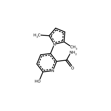 Cc1ccc(C)n1-c1ccc(O)nc1C(N)=O